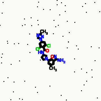 Cc1cc(N2CCC(NC(=O)c3c(Cl)cc(-n4cnc(C)n4)cc3Cl)C2)c2onc(N)c2c1